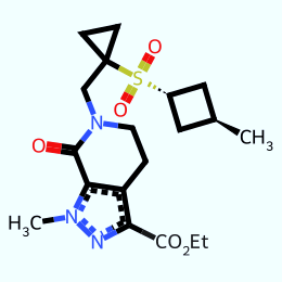 CCOC(=O)c1nn(C)c2c1CCN(CC1(S(=O)(=O)[C@H]3C[C@H](C)C3)CC1)C2=O